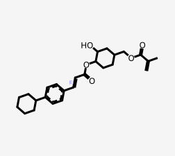 C=C(C)C(=O)OCC1CCC(OC(=O)/C=C/c2ccc(C3CCCCC3)cc2)C(O)C1